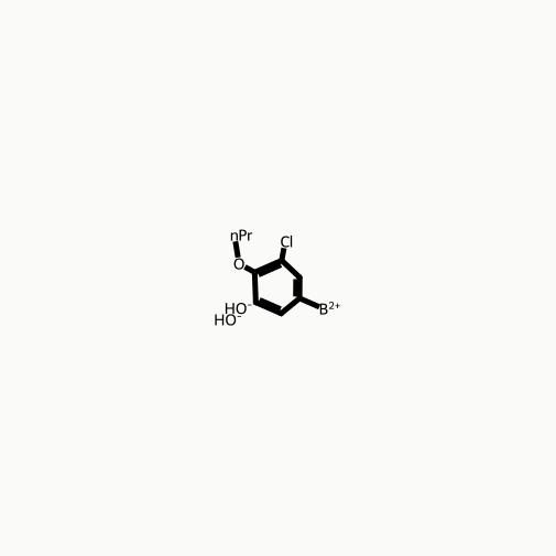 [B+2]c1ccc(OCCC)c(Cl)c1.[OH-].[OH-]